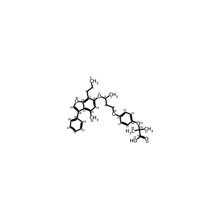 CCCc1c(O[C@@H](C)CCOc2ccc(OC(C)(C)C(=O)O)cc2)cc(C)c2c(-c3ccccc3)coc12